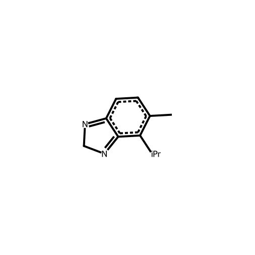 Cc1ccc2c(c1C(C)C)=NCN=2